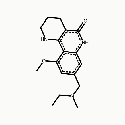 CCN(C)Cc1cc(OC)c2c3c(c(=O)[nH]c2c1)CCCN3